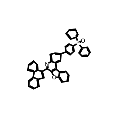 O=P(c1ccccc1)(c1ccccc1)c1ccc(-c2ccc3nc(-c4cc5ccccc5c5ccccc45)c4oc5ccccc5c4c3c2)cc1